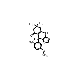 CC[C@]1(c2cccc(OC)c2)C2=C(CC(C)(C)CC2=O)Nc2ncsc21